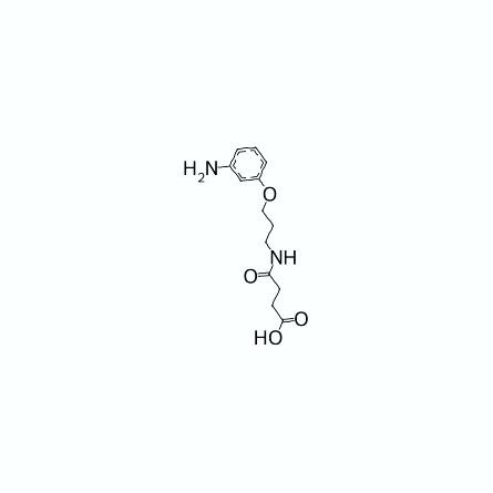 Nc1cccc(OCCCNC(=O)CCC(=O)O)c1